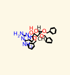 C[C@]1(OCc2ccccc2)[C@](O)(c2ccc3c(N)nc(N)nn23)O[C@@H]2C(OCc3ccccc3)[C@@]21OCc1ccccc1